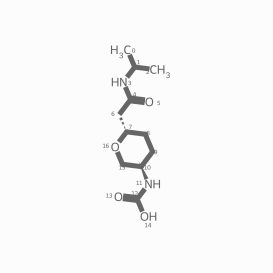 CC(C)NC(=O)C[C@@H]1CC[C@@H](NC(=O)O)CO1